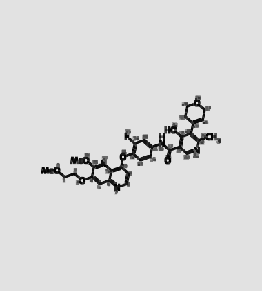 COCCOc1cc2nccc(Oc3ccc(NC(=O)c4cnc(C)c(C5=CCOCC5)c4O)cc3F)c2nc1OC